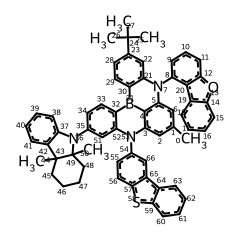 Cc1cc2c3c(c1)N(c1cccc4oc5ccccc5c14)c1cc(C(C)(C)C)ccc1B3c1ccc(N3c4ccccc4C4(C)CCCCC34C)cc1N2c1ccc2sc3ccccc3c2c1